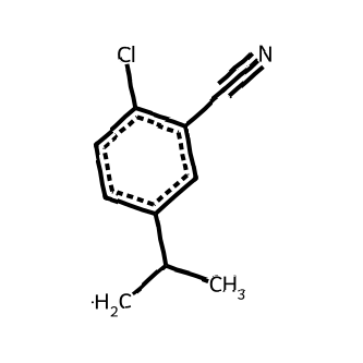 [CH2]C(C)c1ccc(Cl)c(C#N)c1